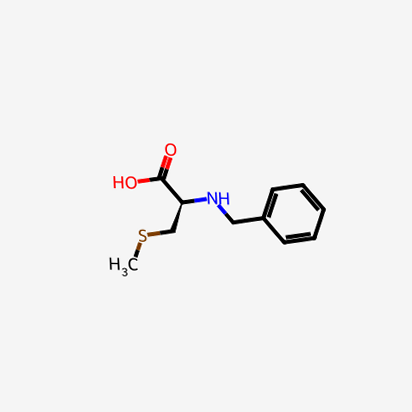 CSC[C@H](NCc1ccccc1)C(=O)O